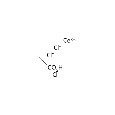 CC(=O)O.[Ce+3].[Cl-].[Cl-].[Cl-]